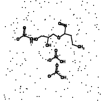 CCCC(N=O)OCC(O)CO.O=[N+]([O-])O.O=[N+]([O-])O.O=[N+]([O-])O